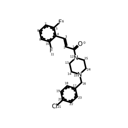 O=C(C=Cc1c(F)cccc1F)N1CCN(Cc2ccc(Cl)cc2)CC1